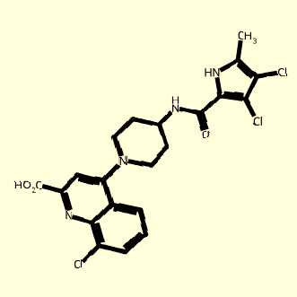 Cc1[nH]c(C(=O)NC2CCN(c3cc(C(=O)O)nc4c(Cl)cccc34)CC2)c(Cl)c1Cl